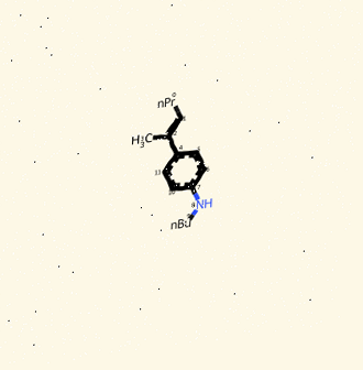 CCC/C=C(\C)c1ccc(NCCCC)cc1